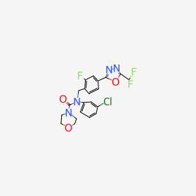 O=C(N1CCOCC1)N(Cc1ccc(-c2nnc(C(F)F)o2)cc1F)c1cccc(Cl)c1